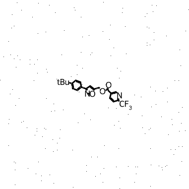 CC(C)(C)c1ccc(-c2cc(COC(=O)c3ccc(C(F)(F)F)nc3)on2)cc1